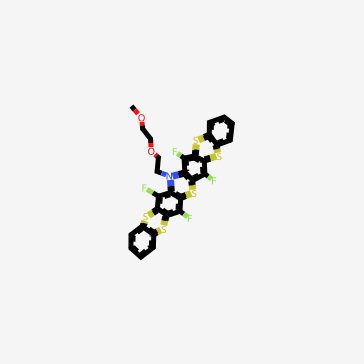 COCCOCCn1c2c(F)c3sc4ccccc4sc3c(F)c2sc2c(F)c3sc4ccccc4sc3c(F)c21